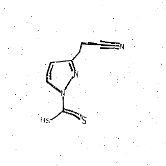 N#CCc1ccn(C(=S)S)n1